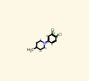 CC1CCN(c2ccc(Cl)c(Cl)c2)CC1